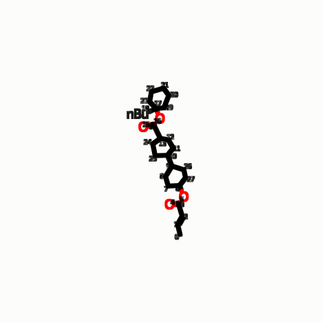 C/C=C/C(=O)OC1CCC(C2CCC(C(=O)OC3(CCCC)CCCCC3)CC2)CC1